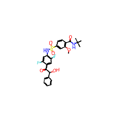 COc1cc(S(=O)(=O)Nc2cc(F)c(C(=O)C(O)c3ccccc3)cc2F)ccc1C(=O)NC(C)(C)C